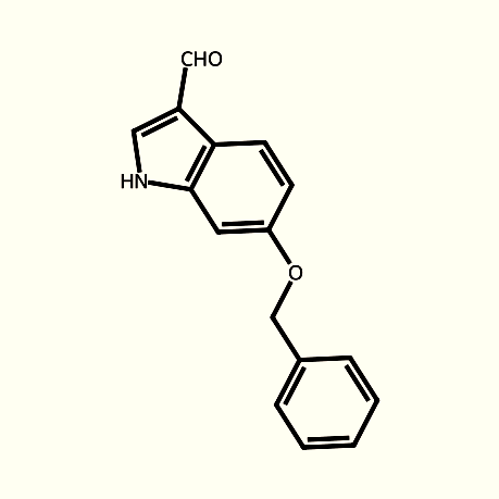 O=Cc1c[nH]c2cc(OCc3ccccc3)ccc12